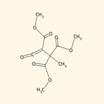 COC(=O)C(=C=O)C(C)(C(=O)OC)C(=O)OC